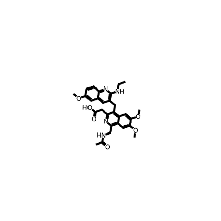 CCNc1nc2ccc(OC)cc2cc1Cc1c(CC(=O)O)nc(CNC(C)=O)c2cc(OC)c(OC)cc12